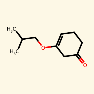 CC(C)COC1=CCCC(=O)C1